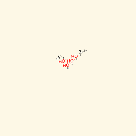 [OH-].[OH-].[OH-].[OH-].[V].[Zr+4]